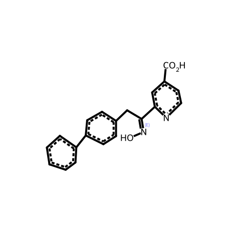 O=C(O)c1ccnc(/C(Cc2ccc(-c3ccccc3)cc2)=N/O)c1